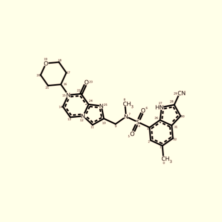 Cc1cc(S(=O)(=O)N(C)Cc2cn3ccn(C4CCOCC4)c(=O)c3n2)c2[nH]c(C#N)cc2c1